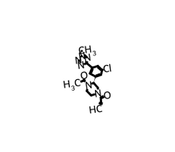 C#CC(=O)N1CCN(C(C)=O)[C@H](c2cc(Cl)cc(-c3nnn(C)n3)c2)C1